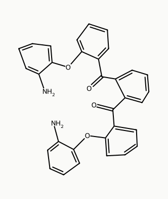 Nc1ccccc1Oc1ccccc1C(=O)c1ccccc1C(=O)c1ccccc1Oc1ccccc1N